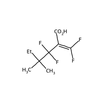 CCC(C)(C)C(F)(F)C(C(=O)O)=C(F)F